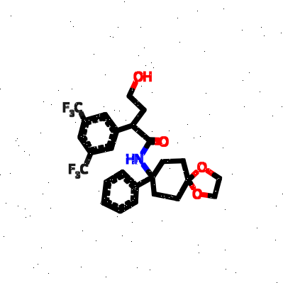 O=C(NC1(c2ccccc2)CCC2(CC1)OCCO2)C(CCO)c1cc(C(F)(F)F)cc(C(F)(F)F)c1